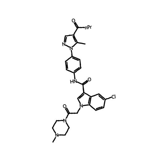 CCCC(=O)c1cnn(-c2ccc(NC(=O)c3cn(CC(=O)N4CCN(C)CC4)c4ccc(Cl)cc34)cc2)c1C